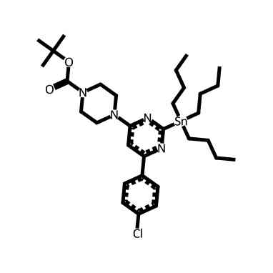 CCC[CH2][Sn]([CH2]CCC)([CH2]CCC)[c]1nc(-c2ccc(Cl)cc2)cc(N2CCN(C(=O)OC(C)(C)C)CC2)n1